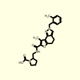 Cc1ccccc1Cn1cc2c(n1)-c1c(oc(C(=O)NCC3CCCN3C(=O)O)c1C)CC2